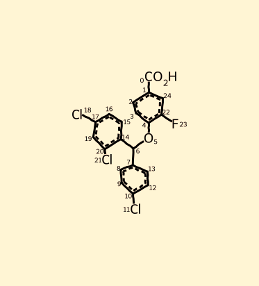 O=C(O)c1ccc(OC(c2ccc(Cl)cc2)c2ccc(Cl)cc2Cl)c(F)c1